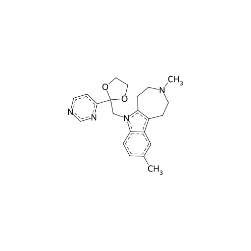 Cc1ccc2c(c1)c1c(n2CC2(c3ccncn3)OCCO2)CCN(C)CC1